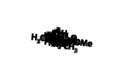 COCC(=O)N1CC(NC(=O)c2c(C)[nH]c3c(-c4c(OCC5CC5)ccc(C)c4F)ncnc23)C(C)(C)C1